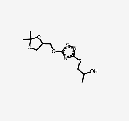 CC(O)CSc1nsc(OCC2COC(C)(C)O2)n1